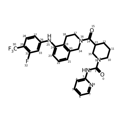 O=C(Nc1ccccn1)N1CCCC(C(=O)N2CCc3c(cccc3Nc3ccc(C(F)(F)F)c(F)c3)C2)C1